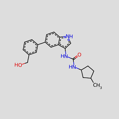 CC1CCC(NC(=O)Nc2c[nH]c3ccc(-c4cccc(CO)c4)cc23)C1